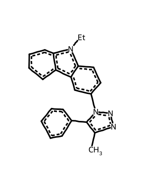 CCn1c2ccccc2c2cc(-n3nnc(C)c3-c3ccccc3)ccc21